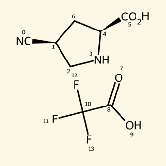 N#C[C@@H]1CN[C@H](C(=O)O)C1.O=C(O)C(F)(F)F